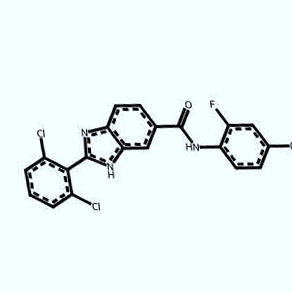 O=C(Nc1ccc(Cl)cc1F)c1ccc2nc(-c3c(Cl)cccc3Cl)[nH]c2c1